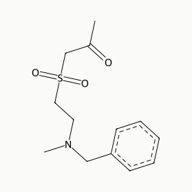 CC(=O)CS(=O)(=O)CCN(C)Cc1ccccc1